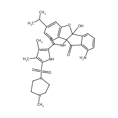 Cc1c(C(=O)NC23C(=O)c4c(N)cccc4C2(O)Oc2cc(C(C)C)ccc23)[nH]c(S(=O)(=O)N2CCN(C)CC2)c1C